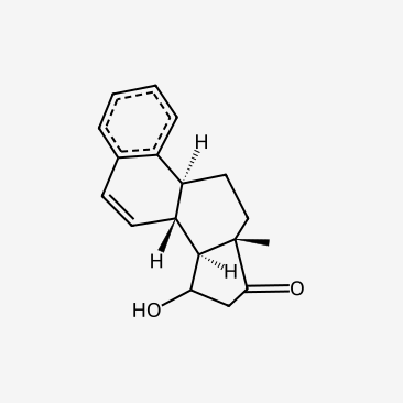 C[C@]12CC[C@@H]3c4ccccc4C=C[C@H]3[C@@H]1C(O)CC2=O